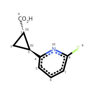 O=C(O)[C@H]1C[C@@H]1c1cccc(F)n1